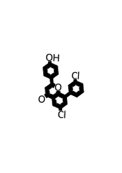 O=c1cc(-c2ccc(O)cc2)oc2c(-c3cccc(Cl)c3)cc(Cl)cc12